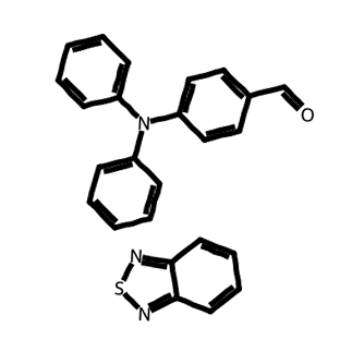 O=Cc1ccc(N(c2ccccc2)c2ccccc2)cc1.c1ccc2nsnc2c1